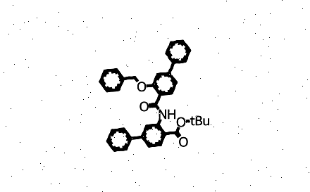 CC(C)(C)OC(=O)c1ccc(-c2ccccc2)cc1NC(=O)c1ccc(-c2ccccc2)cc1OCc1ccccc1